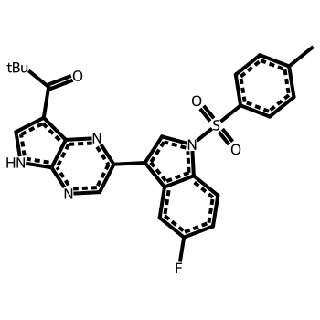 Cc1ccc(S(=O)(=O)n2cc(-c3cnc4[nH]cc(C(=O)C(C)(C)C)c4n3)c3cc(F)ccc32)cc1